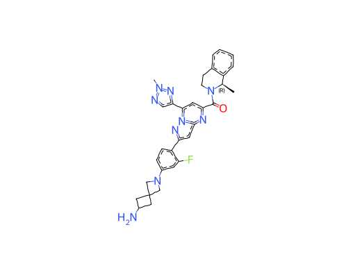 C[C@@H]1c2ccccc2CCN1C(=O)c1cc(-c2cnn(C)n2)n2nc(-c3ccc(N4CC5(CC(N)C5)C4)cc3F)cc2n1